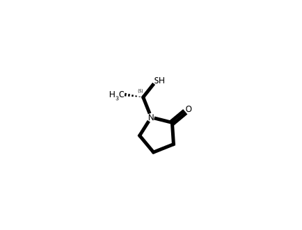 C[C@H](S)N1CCCC1=O